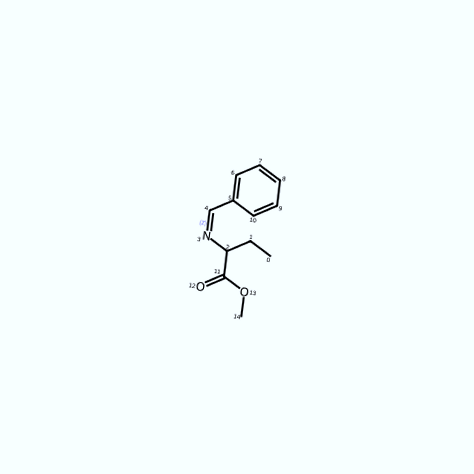 CCC(/N=C\c1ccccc1)C(=O)OC